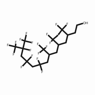 OCCC(CC(CC(CC(F)(F)CC(F)(F)CC(F)(C(F)(F)F)C(F)(F)F)C(F)(F)F)C(F)(F)F)C(F)(F)F